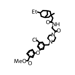 CCC1CC2CC(C1)CC(C)(CC(=O)NCC(=O)N1CCN(Cc3cc(Cl)cc(Oc4cccc(C(=O)OC)c4)c3)CC1)C2